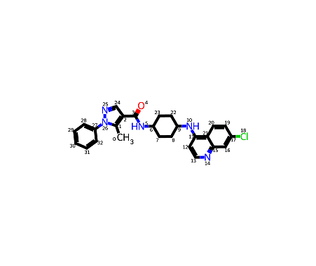 Cc1c(C(=O)NC2CCC(Nc3ccnc4cc(Cl)ccc34)CC2)cnn1-c1ccccc1